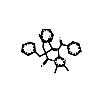 COC(=O)C1=C(C(=O)c2ccccc2)c2nc(C)c(C)n2C(=O)C1(Cc1ccccc1)Cc1ccccc1